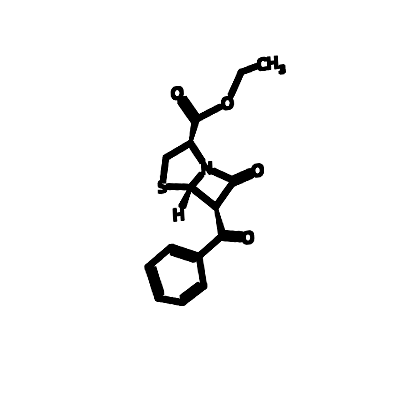 CCOC(=O)[C@@H]1CS[C@H]2[C@H](C(=O)c3ccccc3)C(=O)N12